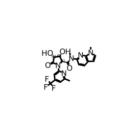 Cc1cc(C(F)(F)F)cc(N2C(=O)[C@@H](O)[C@@H](O)[C@H]2C(=O)N(C)c2ccc3ccn(C)c3n2)n1